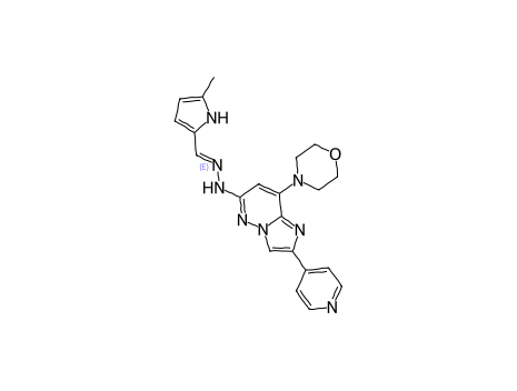 Cc1ccc(/C=N/Nc2cc(N3CCOCC3)c3nc(-c4ccncc4)cn3n2)[nH]1